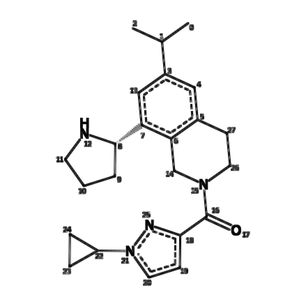 CC(C)c1cc2c(c([C@@H]3CCCN3)c1)CN(C(=O)c1ccn(C3CC3)n1)CC2